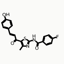 Cc1nc(NC(=O)c2ccc(F)cc2)sc1C(=O)C=Cc1ccc(O)cc1